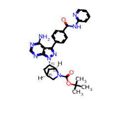 CC(C)(C)OC(=O)N1C[C@@H]2C[C@H]1[C@@H](n1nc(-c3ccc(C(=O)Nc4ccccn4)cc3)c3c(N)ncnc31)C2